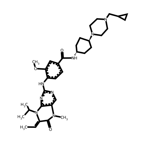 CC=C1C(=O)N(C)c2cnc(Nc3ccc(C(=O)N[C@H]4CC[C@H](N5CCN(CC6CC6)CC5)CC4)cc3OC)nc2N1C(C)C